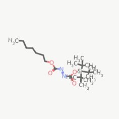 CCCCCCCOC(=O)N=NC(=O)O[Si](C(C)(C)C)(C(C)(C)C)C(C)(C)C